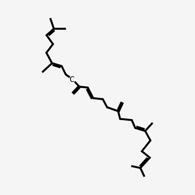 C=C(/C=C/CCC(=C)CC/C=C(\C)CCC=C(C)C)CC/C=C(\C)CCC=C(C)C